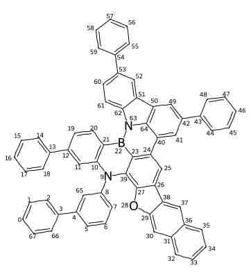 c1ccc(-c2cccc(N3c4cc(-c5ccccc5)ccc4B4c5c(cc6c(oc7cc8ccccc8cc76)c53)-c3cc(-c5ccccc5)cc5c6cc(-c7ccccc7)ccc6n4c35)c2)cc1